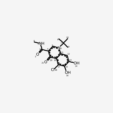 CNC(=O)c1cn(C(C)(C)C)c2cc(O)c(O)c(Cl)c2c1=O